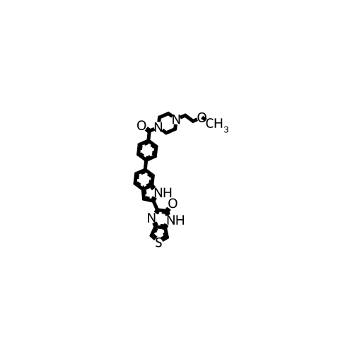 COCCN1CCN(C(=O)c2ccc(-c3ccc4cc(-c5nc6cscc6[nH]c5=O)[nH]c4c3)cc2)CC1